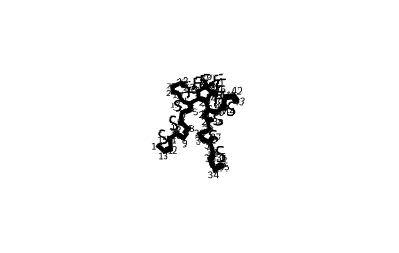 FC1(F)C(c2cc(-c3ccc(-c4cccs4)s3)sc2-c2cccs2)=C(c2cc(-c3ccc(-c4cccs4)s3)sc2-c2cccs2)C(F)(F)C1(F)F